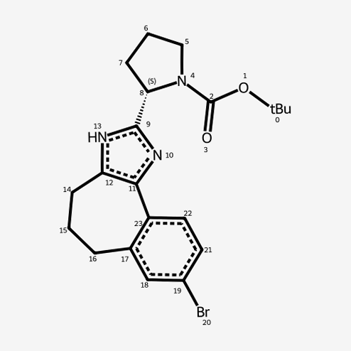 CC(C)(C)OC(=O)N1CCC[C@H]1c1nc2c([nH]1)CCCc1cc(Br)ccc1-2